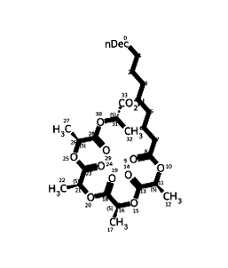 CCCCCCCCCCCCCCCCCC(=O)O[C@@H](C)C(=O)O[C@@H](C)C(=O)O[C@@H](C)C(=O)O[C@@H](C)C(=O)O[C@@H](C)C(=O)O